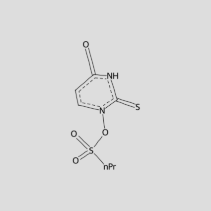 CCCS(=O)(=O)On1ccc(=O)[nH]c1=S